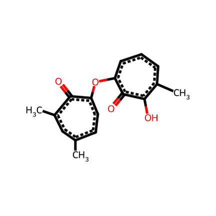 Cc1ccc(Oc2cccc(C)c(O)c2=O)c(=O)c(C)c1